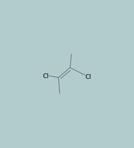 CC(Cl)=C(C)Cl